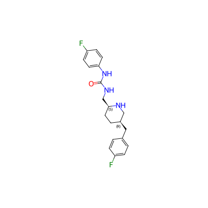 O=C(NC[C@@H]1CC[C@H](Cc2ccc(F)cc2)CN1)Nc1ccc(F)cc1